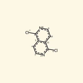 Clc1nccc2c(Cl)nccc12